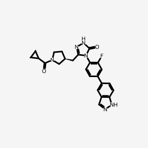 O=C(C1CC1)N1CC[C@@H](Cc2n[nH]c(=O)n2-c2ccc(-c3ccc4[nH]ncc4c3)cc2F)C1